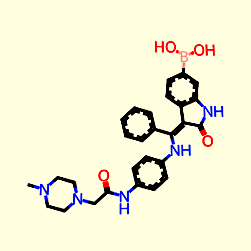 CN1CCN(CC(=O)Nc2ccc(N/C(=C3\C(=O)Nc4cc(B(O)O)ccc43)c3ccccc3)cc2)CC1